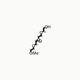 COCCOCCOCCOCCO.[OH]